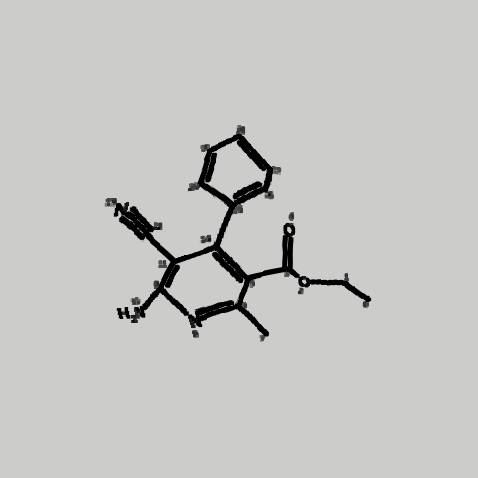 CCOC(=O)c1c(C)nc(N)c(C#N)c1-c1ccccc1